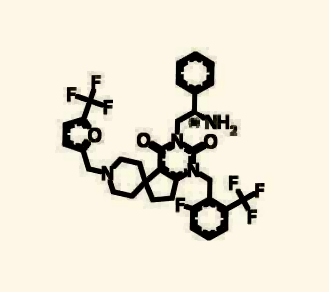 N[C@@H](Cn1c(=O)c2c(n(Cc3c(F)cccc3C(F)(F)F)c1=O)CCC21CCN(Cc2ccc(C(F)(F)F)o2)CC1)c1ccccc1